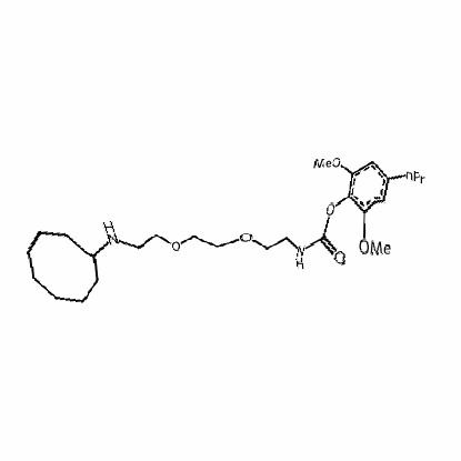 CCCc1cc(OC)c(OC(=O)NCCOCCOCCNC2CCCCCCC2)c(OC)c1